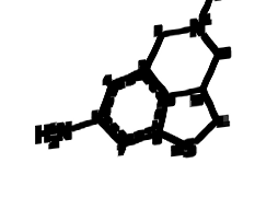 CN1Cc2cc(N)cc3c2C(CS3)C1